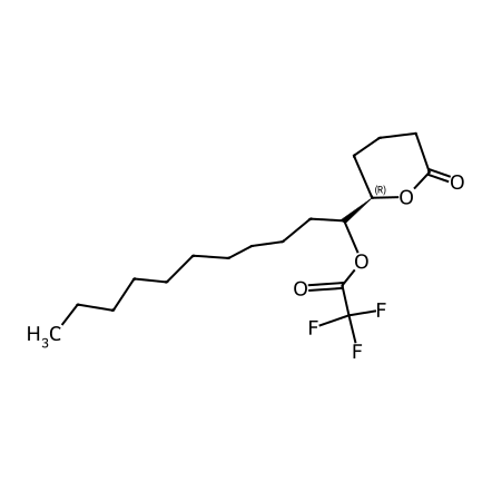 CCCCCCCCCCC(OC(=O)C(F)(F)F)[C@H]1CCCC(=O)O1